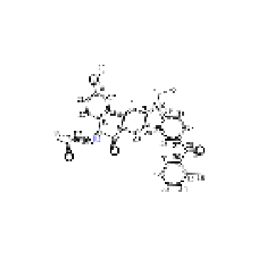 CCn1c2ccc(C(=O)/C(=N/OC(C)=O)c3ccc(OC)cc3)cc2c2cc(C(=O)c3ccccc3C)ccc21